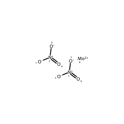 O=[N+]([O-])[O-].O=[N+]([O-])[O-].[Mo+2]